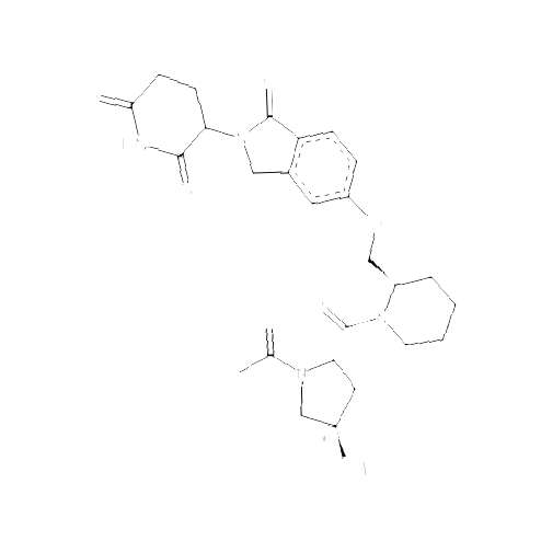 CC(=O)N1C[C@H](O)C[C@H]1C(=O)N1CCCC[C@@H]1COc1ccc2c(c1)CN(C1CCC(=O)NC1=O)C2=O